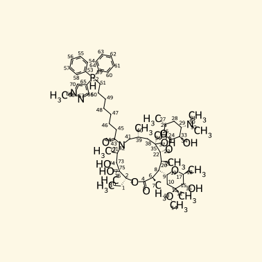 CC[C@H]1OC(=O)[C@H](C)C([C@H]2C[C@@](C)(OC)[C@@H](O)[C@H](C)O2)[C@H](C)[C@@H](O[C@@H]2O[C@H](C)C[C@H](N(C)C)[C@H]2O)[C@](C)(O)C[C@@H](C)CN(C(=O)CCCCCCC[PH](c2ccccc2)(c2ccccc2)c2cnn(C)c2)[C@H](C)[C@@H](O)[C@]1(C)O